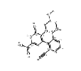 COCCOc1c(-c2c(C#N)cccc2COC)cc(C(=O)O)oc1=O